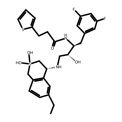 CCc1ccc2c(c1)[C@@H](NC[C@@H](O)[C@H](Cc1cc(F)cc(F)c1)NC(=O)CCc1cccs1)CS(O)(O)C2